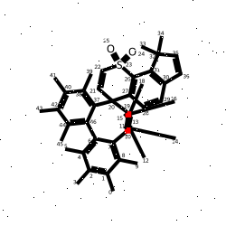 Cc1c(C)c(C)c2c(c1C)-c1c(C)c(C)c(C)c(C)c1C1(C=CS(=O)(=O)c3c1ccc1c3C(C)(C)C=C1)c1c(C)c(C)c(C)c(C)c1-2